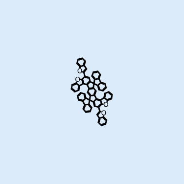 c1ccc2c(c1)-c1ccccc1C21c2cc3c(cc2-c2c1cc(-c1cc4ccccc4o1)c1oc4ccccc4c21)C1(c2ccccc2-c2ccccc21)c1cc(-c2cc4ccccc4o2)c2oc4ccccc4c2c1-3